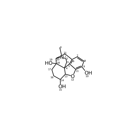 CN1CCC23c4c5ccc(O)c4OC2C(O)CCC3(O)C1C5